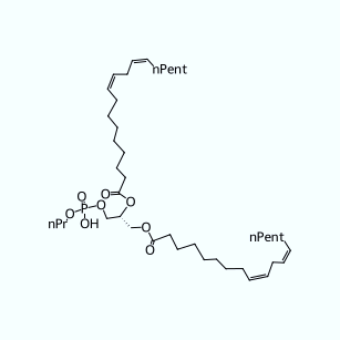 CCCCC/C=C\C/C=C\CCCCCCCC(=O)OC[C@H](COP(=O)(O)OCCC)OC(=O)CCCCCCC/C=C\C/C=C\CCCCC